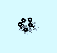 CC(C)c1cccc(-c2ccccc2)c1O.CC1=C(C)C(C)(C)[C]([Ti]([Cl])([Cl])[O]c2c(-c3ccccc3)cccc2C(C)C)=C1C